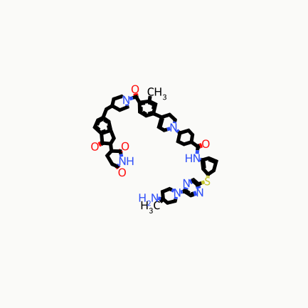 Cc1cc(C2=CCN(C3CCC(C(=O)NC4=CC(Sc5cnc(N6CCC(C)(N)CC6)cn5)CC=C4)CC3)CC2)ccc1C(=O)N1CCC(Cc2ccc3c(c2)CC(C2CCC(=O)NC2=O)C3=O)CC1